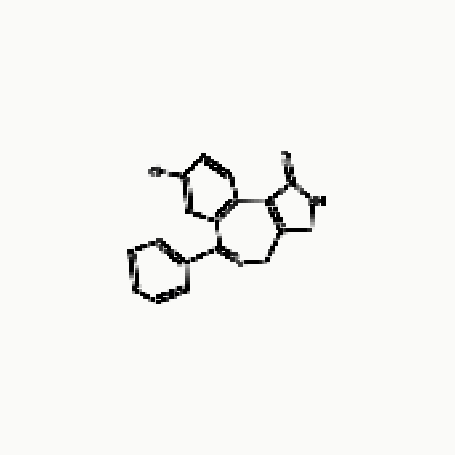 O=C1NCC2=C1c1ccc(Cl)cc1C(c1ccccc1)=NC2